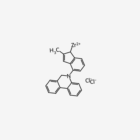 CC1=Cc2c(cccc2N2Cc3ccccc3-c3ccccc32)[CH]1[Zr+2].[Cl-].[Cl-]